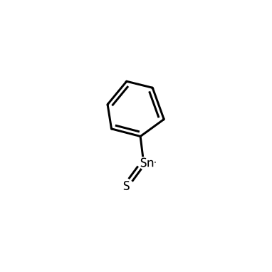 [S]=[Sn][c]1ccccc1